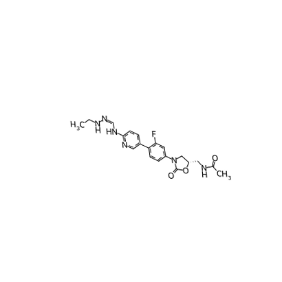 CCN/N=C\Nc1ccc(-c2ccc(N3C[C@H](CNC(C)=O)OC3=O)cc2F)cn1